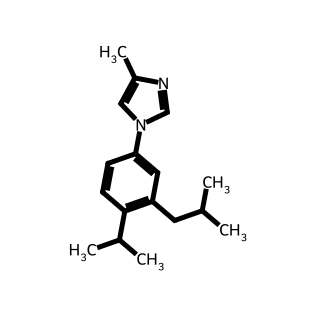 Cc1cn(-c2ccc(C(C)C)c(CC(C)C)c2)cn1